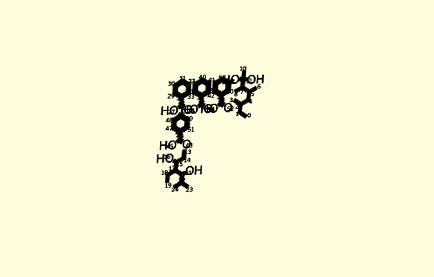 CCC(C)CC(C)C(C)C(C)(O)O.CCC(O)C(CC)C(O)C(C)C.O=C(O)c1ccccc1.O=C(O)c1ccccc1.O=C(O)c1ccccc1.O=C(O)c1ccccc1